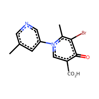 Cc1cncc(-n2cc(C(=O)O)c(=O)c(Br)c2C)c1